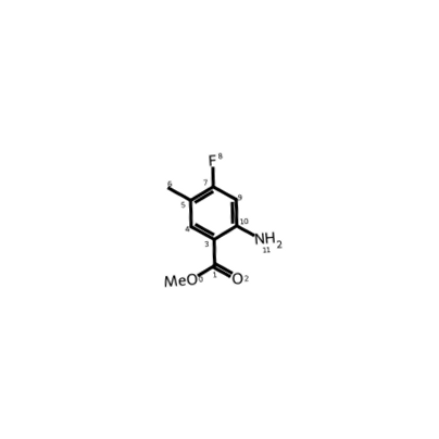 COC(=O)c1cc(C)c(F)cc1N